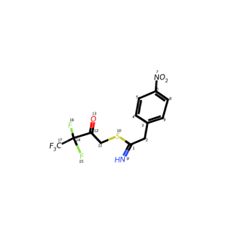 N=C(Cc1ccc([N+](=O)[O-])cc1)SCC(=O)C(F)(F)C(F)(F)F